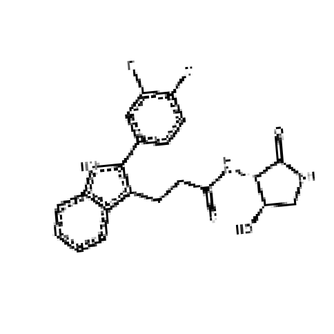 O=C(CCc1c(-c2ccc(Cl)c(F)c2)[nH]c2ccccc12)N[C@@H]1C(=O)NC[C@H]1O